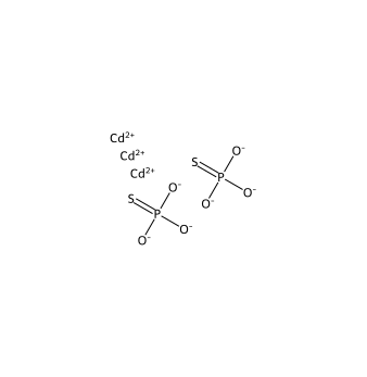 [Cd+2].[Cd+2].[Cd+2].[O-]P([O-])([O-])=S.[O-]P([O-])([O-])=S